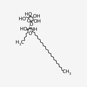 CCCCCCCCCCCCCCCCCCCCCCCC(=O)N[C@@H](CO[C@H]1OC(CO)[C@H](O)C(O)C1O)[C@H](O)CCCCCC